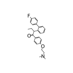 CCC(C(=O)c1ccc(OCCN(C)C)cc1)c1ccccc1-c1ccc(F)cc1